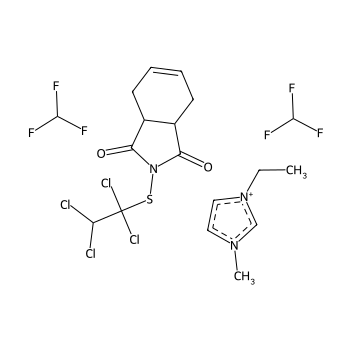 CC[n+]1ccn(C)c1.FC(F)F.FC(F)F.O=C1C2CC=CCC2C(=O)N1SC(Cl)(Cl)C(Cl)Cl